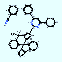 CC1(C)c2ccccc2C2(c3ccccc3-c3ccccc32)c2ccc(-c3nc(-c4ccccc4)cc(-c4cccc(-c5cccc(C#N)c5)c4)n3)cc21